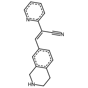 N#CC(=Cc1ccc2c(c1)CNCC2)c1ccccn1